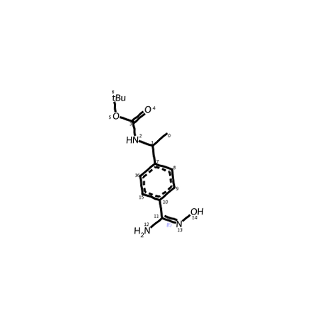 CC(NC(=O)OC(C)(C)C)c1ccc(/C(N)=N\O)cc1